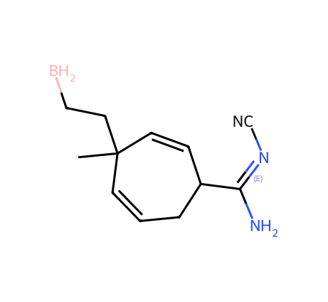 BCCC1(C)C=CCC(/C(N)=N\C#N)C=C1